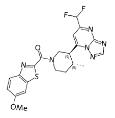 COc1ccc2nc(C(=O)N3CC[C@@H](C)[C@H](c4cc(C(F)F)nc5ncnn45)C3)sc2c1